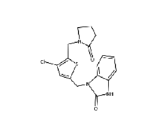 O=C1CCCN1Cc1sc(Cn2c(=O)[nH]c3ccccc32)cc1Cl